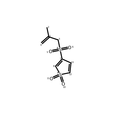 C=C(C)CS(=O)(=O)C1=CS(=O)(=O)C=C1